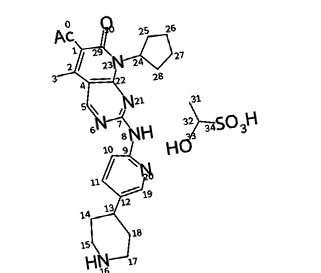 CC(=O)c1c(C)c2cnc(Nc3ccc(C4CCNCC4)cn3)nc2n(C2CCCC2)c1=O.CC(O)S(=O)(=O)O